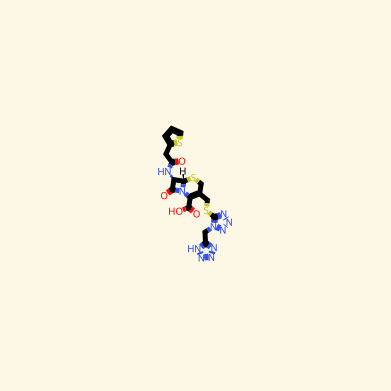 O=C(Cc1cccs1)N[C@@H]1C(=O)N2C(C(=O)O)=C(CSc3nnnn3Cc3nnn[nH]3)CS[C@H]12